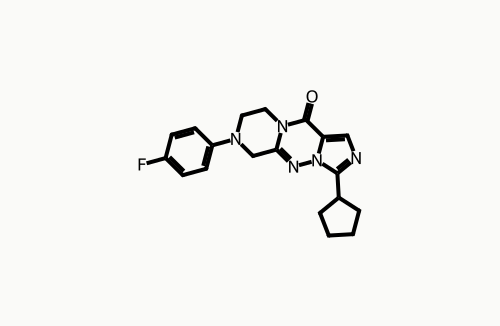 O=c1c2cnc(C3CCCC3)n2nc2n1CCN(c1ccc(F)cc1)C2